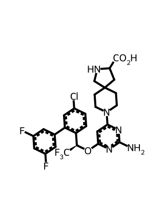 Nc1nc(O[C@H](c2ccc(Cl)cc2-c2cc(F)cc(F)c2)C(F)(F)F)cc(N2CCC3(CC2)CNC(C(=O)O)C3)n1